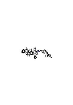 CCOC(=O)CN1CCN(C/C=C/C(=O)Nc2cc3c(N[C@H](C)c4ccccc4)ncnc3cc2OC2CCC2)CC1